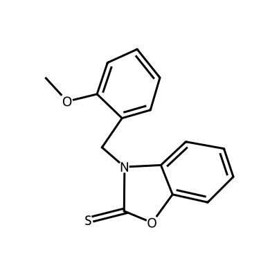 COc1ccccc1Cn1c(=S)oc2ccccc21